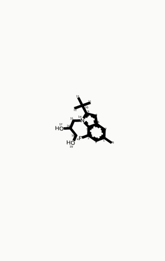 Cc1cc(F)c2c(c1)cc(C(C)(C)C)n2CC(O)CO